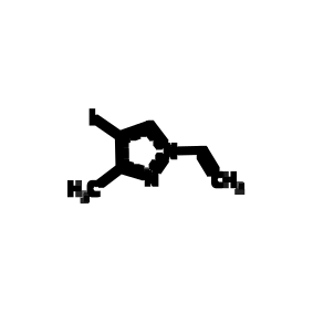 C=Cn1cc(I)c(C)n1